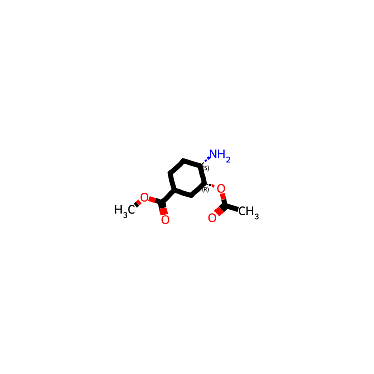 COC(=O)C1CC[C@H](N)[C@H](OC(C)=O)C1